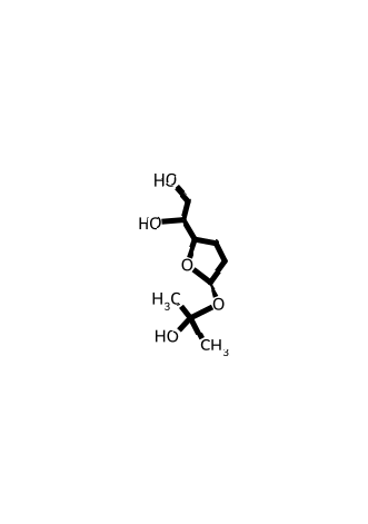 CC(C)(O)O[C@@H]1CCC(C(O)CO)O1